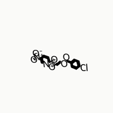 O=C(OCCS(=O)(=O)c1ccc([N+](=O)[O-])cn1)c1ccc(Cl)cc1